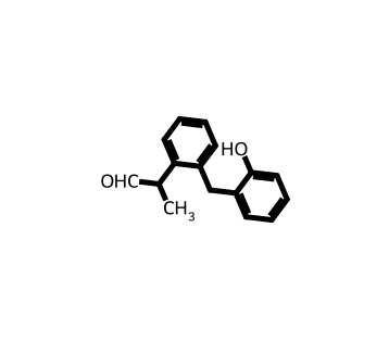 CC(C=O)c1ccccc1Cc1ccccc1O